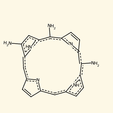 Nc1cc2[nH]c1cc1nc(cc3ccc([nH]3)c(N)c3nc(c2N)C=C3)C=C1